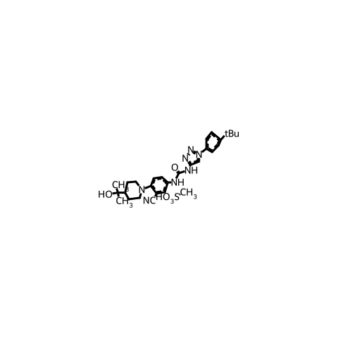 CC(C)(C)c1ccc(-n2cc(NC(=O)Nc3ccc(N4CCC(C(C)(C)O)CC4)c(C#N)c3)nn2)cc1.CS(=O)(=O)O